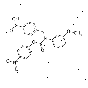 COc1cccc(N(Cc2ccc(C(=O)O)cc2)C(=O)Oc2ccc([N+](=O)[O-])cc2)c1